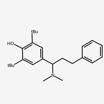 CN(C)C(CCc1ccccc1)c1cc(C(C)(C)C)c(O)c(C(C)(C)C)c1